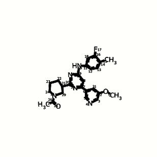 COc1cncc(-c2cc(Nc3ccc(C)c(F)c3)nc(C3CCCN(C(C)=O)C3)n2)c1